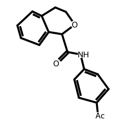 CC(=O)c1ccc(NC(=O)C2OCCc3ccccc32)cc1